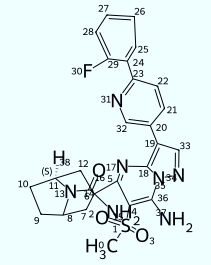 CS(=O)(=O)c1c(C2CC3CC[C@@H](C2)N3C(N)=O)nc2c(-c3ccc(-c4ccccc4F)nc3)cnn2c1N